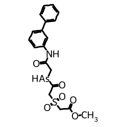 COC(=O)CS(=O)(=O)CC(=O)[AsH]CC(=O)Nc1cccc(-c2ccccc2)c1